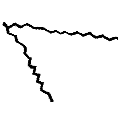 [CH2]C(CCCCCCCCCCCCCCC)CCCCCCCCCCCCCCCCCC